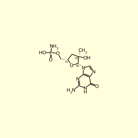 C[C@@]1(O)C[C@@H](COP(N)(=O)O)O[C@H]1n1cnc2c(=O)[nH]c(N)nc21